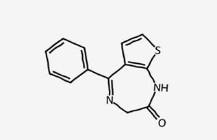 O=C1CN=C(c2ccccc2)c2ccsc2N1